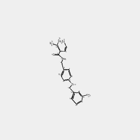 CC/C=C\C(C(=O)NCc1ccc(OCc2cccc(C)c2)cc1)=C(/C)N